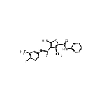 Cc1cc(NC(=O)c2c(N)sc(C(=O)Nc3ccccc3)c2C)ccc1F